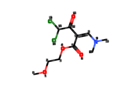 COCCOC(=O)/C(=C\N(C)C)C(=O)C(Cl)Cl